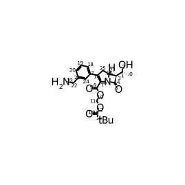 C[C@@H](O)[C@H]1C(=O)N2C(C(=O)OCOC(=O)C(C)(C)C)=C(c3cccc(CN)c3)C[C@H]12